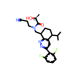 CC(C)C1CCC(CN(CCC#N)C(=O)[C@H](C)O)c2nnc(-c3c(F)cccc3F)cc21